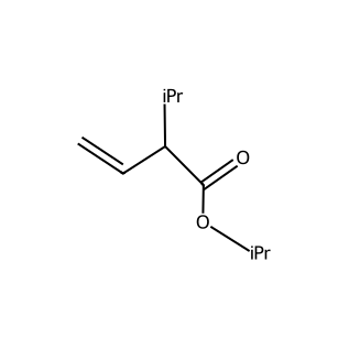 C=CC(C(=O)OC(C)C)C(C)C